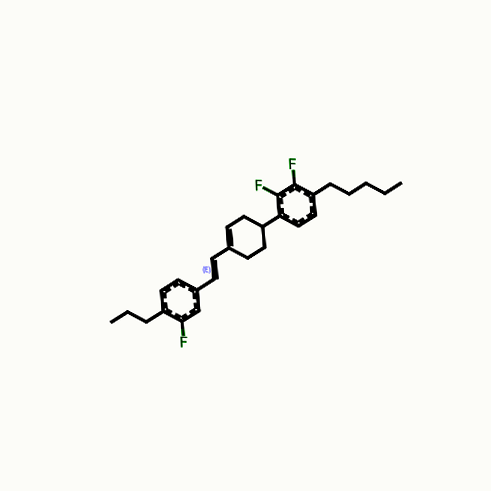 CCCCCc1ccc(C2CC=C(/C=C/c3ccc(CCC)c(F)c3)CC2)c(F)c1F